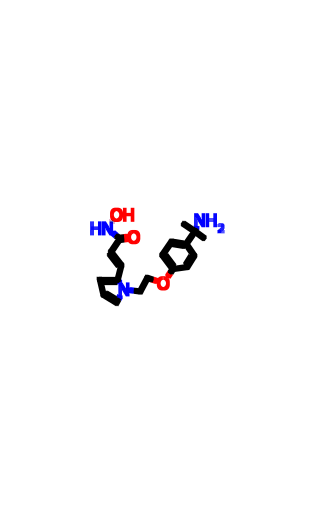 CC(C)(N)c1ccc(OCCn2cccc2/C=C/C(=O)NO)cc1